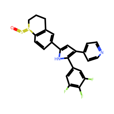 O=S=S1CCCc2cc(-c3cc(-c4ccncc4)c(-c4cc(F)c(F)c(F)c4)[nH]3)ccc21